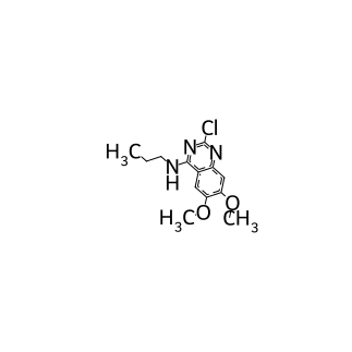 CCCNc1nc(Cl)nc2cc(OC)c(OC)cc12